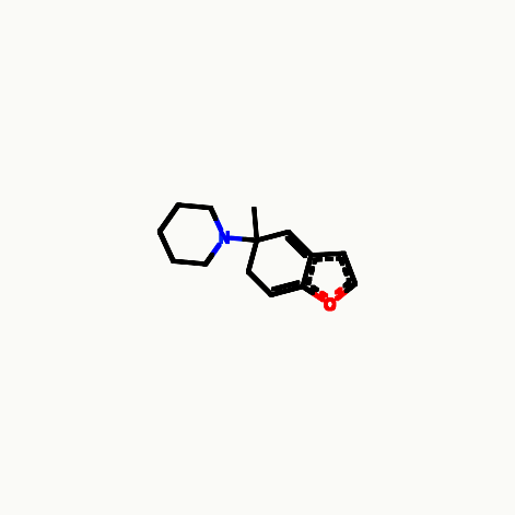 CC1(N2CCCCC2)C=c2ccoc2=CC1